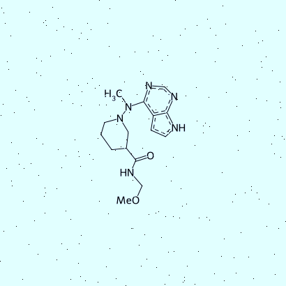 COCNC(=O)C1CCCN(N(C)c2ncnc3[nH]ccc23)C1